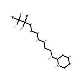 FC(F)(F)C(F)(F)CCCCCCCOC1CCCCO1